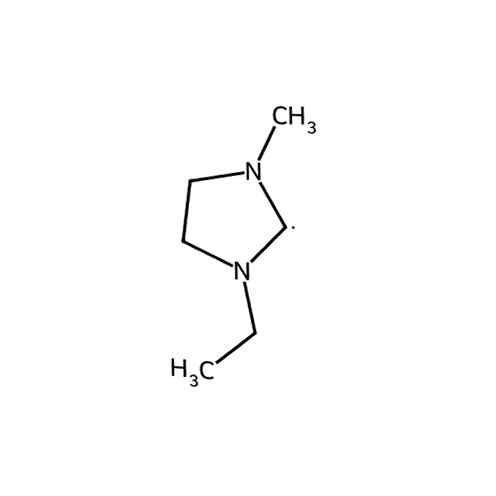 CCN1[CH]N(C)CC1